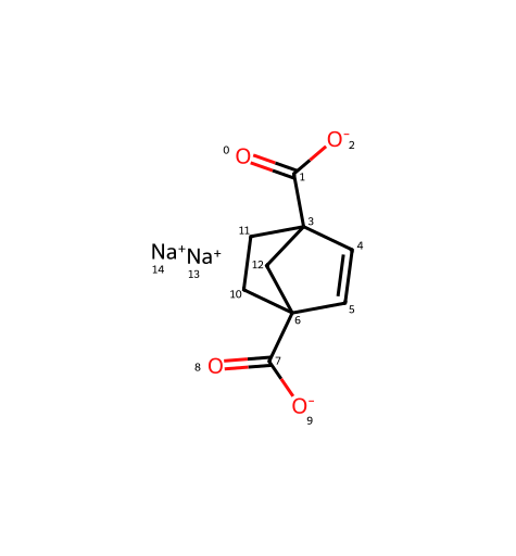 O=C([O-])C12C=CC(C(=O)[O-])(CC1)C2.[Na+].[Na+]